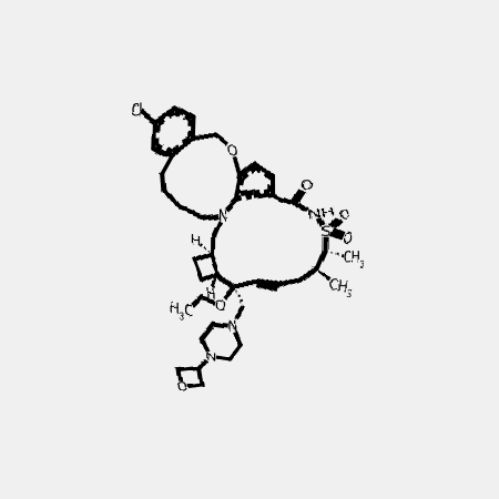 CCO[C@]1(CN2CCN(C3COC3)CC2)/C=C/C[C@H](C)[C@@H](C)S(=O)(=O)NC(=O)c2ccc3c(c2)N(CCCCc2cc(Cl)ccc2CO3)C[C@@H]2CC[C@H]21